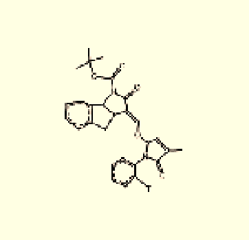 CC1=CC(O/C=C2/C(=O)N(C(=O)OC(C)(C)C)C3c4ccccc4CC23)N(c2ccccc2F)C1=O